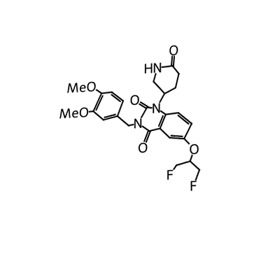 COc1ccc(Cn2c(=O)c3cc(OC(CF)CF)ccc3n(C3CCC(=O)NC3)c2=O)cc1OC